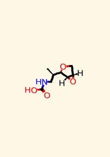 C[C@H](CNC(=O)O)[C@H]1OC[C@@H]2O[C@H]12